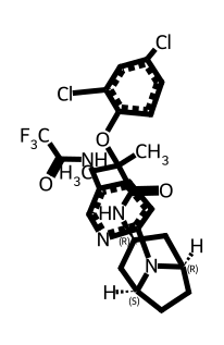 CC(C)(Oc1ccc(Cl)cc1Cl)C(=O)N[C@H]1C[C@H]2CC[C@@H](C1)N2c1ccc(NC(=O)C(F)(F)F)cn1